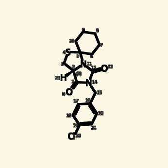 O=C1[C@@H]2CSC3(CCCCC3)N2C(=O)N1Cc1ccc(Cl)cc1